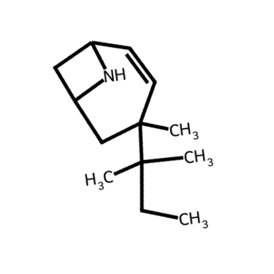 CCC(C)(C)C1(C)C=CC2CC(C1)N2